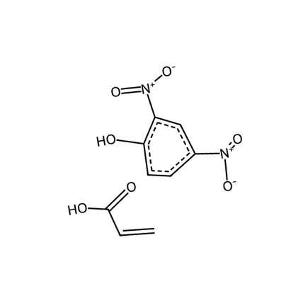 C=CC(=O)O.O=[N+]([O-])c1ccc(O)c([N+](=O)[O-])c1